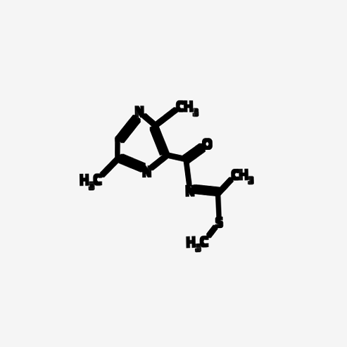 CS/C(C)=N/C(=O)c1nc(C)cnc1C